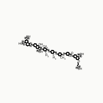 Cc1cc(N=Nc2ccc(N=Nc3cc(C)c(N=Nc4c(S(=O)(=O)O)cc5cc(-n6nc7ccc8c(S(=O)(=O)O)cc(S(=O)(=O)O)cc8c7n6)ccc5c4O)cc3C)cc2C)ccc1N=Nc1ccc(C(=O)Nc2ccc3c(S(=O)(=O)O)cc(OCCCS(=O)(=O)O)cc3c2)cc1